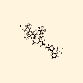 CN(C)C(=O)C(NC(=O)CNC(=O)C(=O)C(CC1CC1)NC(=O)[C@@H]1[C@H]2[C@@H](CN1C(=O)[C@@H](NC(=O)OC(C)(C)C)C(C)(C)C)C2(Cl)Cl)c1ccccc1